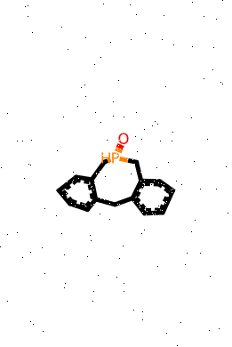 O=[PH]1Cc2ccccc2Cc2ccccc2C1